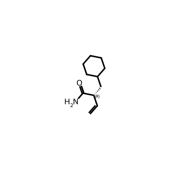 C=C[C@@H](CC1CCCCC1)C(N)=O